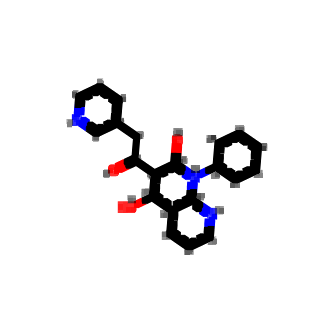 O=C(Cc1cccnc1)c1c(O)c2cccnc2n(-c2ccccc2)c1=O